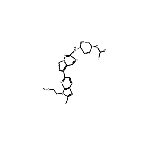 COCCn1c(C)nc2ccc(-c3ccn4nc(N[C@H]5CC[C@H](OC(F)F)CC5)ncc34)nc21